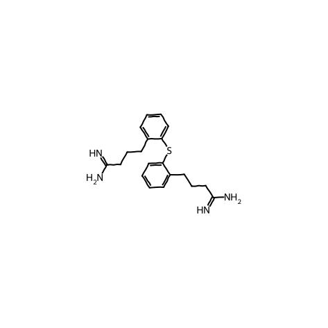 N=C(N)CCCc1ccccc1Sc1ccccc1CCCC(=N)N